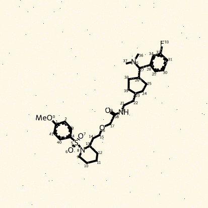 COc1ccc(S(=O)(=O)N2CCCCC2CCOCC(=O)NCCC2CCC(C(c3cccc(F)c3)N(C)C)CC2)cc1